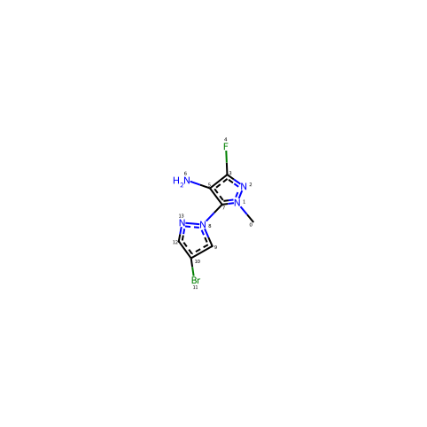 Cn1nc(F)c(N)c1-n1cc(Br)cn1